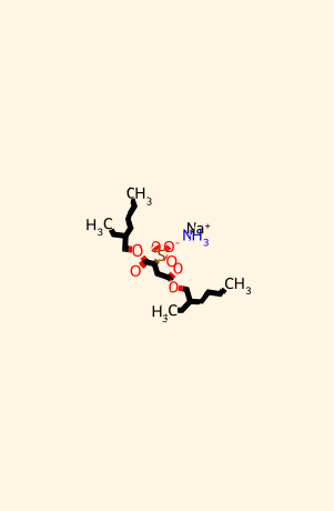 CCCCC(CC)COC(=O)CC(C(=O)OCC(CC)CCCC)S(=O)(=O)[O-].N.[Na+]